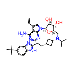 C=Cc1cn([C@@H]2O[C@H](CN(C(C)C)[C@H]3C[C@@H](CCc4nc5cc(C(C)(C)C)ccc5[nH]4)C3)[C@@H](O)[C@H]2O)c2ncnc(N)c12